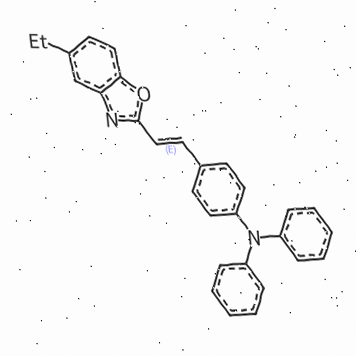 CCc1ccc2oc(/C=C/c3ccc(N(c4ccccc4)c4ccccc4)cc3)nc2c1